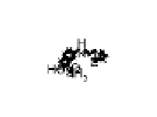 NC(=O)[C@@H]1c2cc(CNCCCN3CCCC3=O)ccc2C[C@H]1O